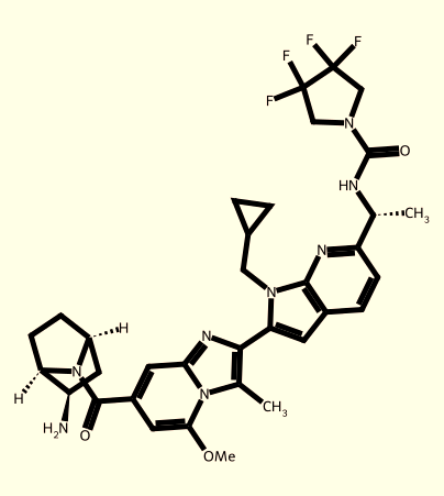 COc1cc(C(=O)N2[C@H]3CC[C@@H]2[C@H](N)C3)cc2nc(-c3cc4ccc([C@@H](C)NC(=O)N5CC(F)(F)C(F)(F)C5)nc4n3CC3CC3)c(C)n12